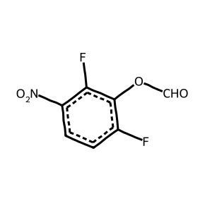 O=COc1c(F)ccc([N+](=O)[O-])c1F